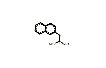 CC(=O)N[C@@H](C=O)Cc1ccc2ccccc2c1